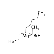 Br.CCCCCCCCS.C[CH2][Mg+2]